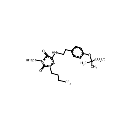 CCCCCCCn1c(=O)c(NCCc2ccc(OC(C)(C)C(=O)OCC)cc2)nn(CCCC(F)(F)F)c1=O